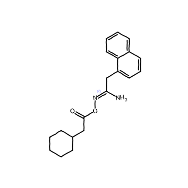 N/C(Cc1cccc2ccccc12)=N\OC(=O)CC1CCCCC1